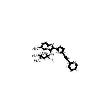 Cc1ccc2nc(-c3ccc(C#Cc4ccccn4)s3)c(NC(C)(C)CC(C)(C)C)n2c1